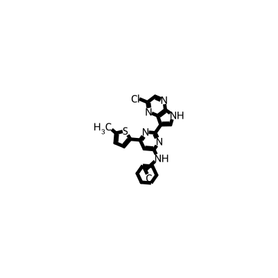 Cc1ccc(-c2cc(NC3CC4CCC3CC4)nc(-c3c[nH]c4ncc(Cl)nc34)n2)s1